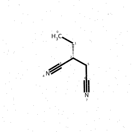 CC[C@@H](C#N)CC#N